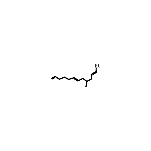 C=CCCCC=CCC(C)CC=CCC